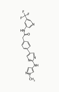 Cn1cc(Nc2ncc(-c3ccc(CC(=O)Nc4cncc(C(F)(F)F)c4)cc3)cn2)cn1